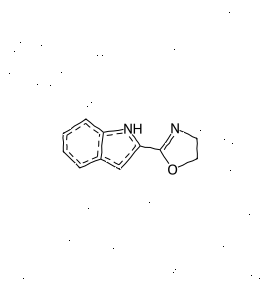 c1ccc2[nH]c(C3=NCCO3)cc2c1